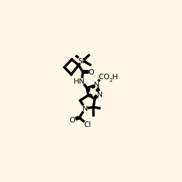 CC1(C)c2nn(C(=O)O)c(NC(=O)C3([Si](C)(C)C)CCC3)c2CN1C(=O)Cl